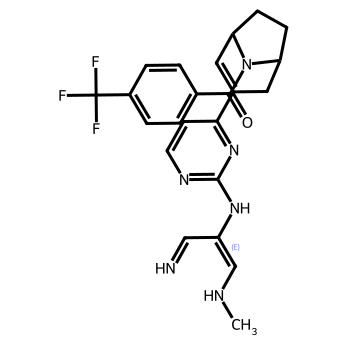 CN/C=C(\C=N)Nc1nccc(C2=CC3CCC(C2)N3C(=O)c2ccc(C(F)(F)F)cc2)n1